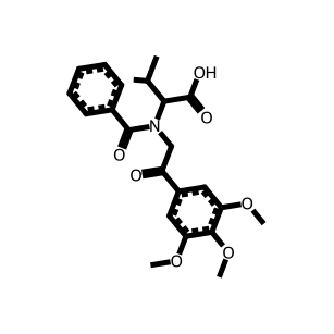 COc1cc(C(=O)CN(C(=O)c2ccccc2)C(C(=O)O)C(C)C)cc(OC)c1OC